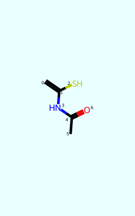 C=C(S)NC(C)=O